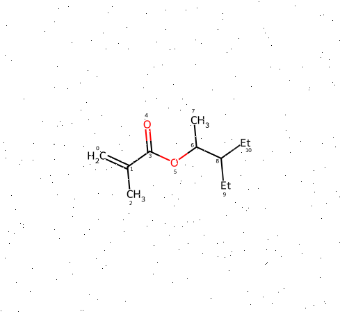 C=C(C)C(=O)OC(C)C(CC)CC